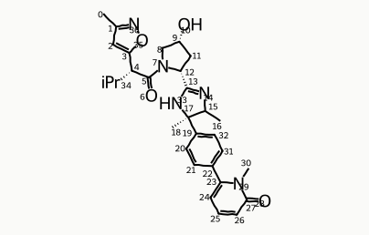 Cc1cc([C@H](C(=O)N2C[C@H](O)C[C@@H]2C2=NC(C)[C@@](C)(c3ccc(-c4cccc(=O)n4C)cc3)N2)C(C)C)on1